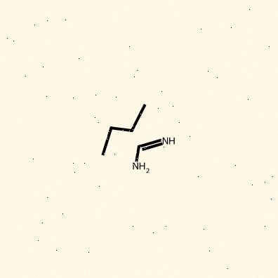 CCCC.N=CN